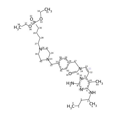 CCCC(C)Nc1nc(N)nc(/C=C\N(C=O)Cc2ccc(CN3CCN(CCCCP(=O)(OCC)OCC)CC3)cc2)c1C